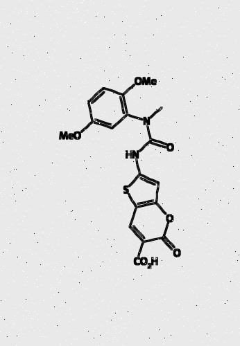 COc1ccc(OC)c(N(C)C(=O)Nc2cc3oc(=O)c(C(=O)O)cc3s2)c1